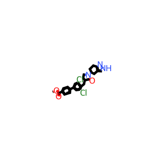 COC(=O)c1ccc(-c2cc(Cl)c(CC3CCN(C4CCc5n[nH]cc5C4)C3=O)c(Cl)c2)cc1